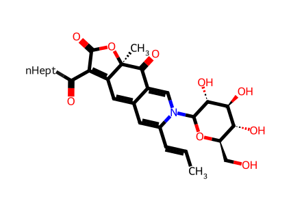 C/C=C/C1=CC2=CC3=C(C(=O)CCCCCCC)C(=O)O[C@@]3(C)C(=O)C2=CN1C1O[C@H](CO)[C@@H](O)[C@H](O)[C@H]1O